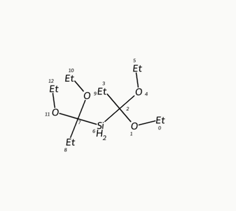 CCOC(CC)(OCC)[SiH2]C(CC)(OCC)OCC